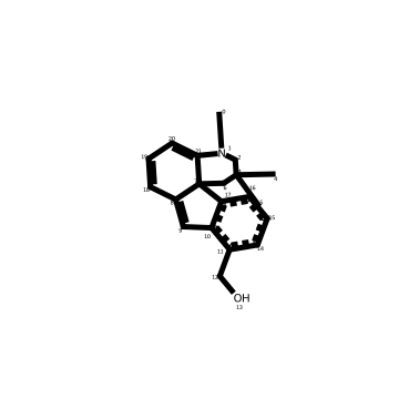 CN1CC(C)(C)CC23C(=Cc4c(CO)cccc42)C=CC=C13